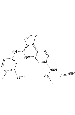 CN/C(=N\N=N)c1ccc2c(c1)nc(Nc1ccc(C)c(OC)c1)c1ccsc12